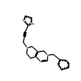 C(#Cc1ncc[nH]1)CN1CCC2=C(CN(Cc3ccccc3)C=N2)C1